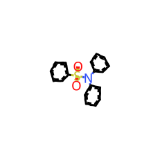 O=S(=O)(c1ccccc1)N(c1ccccc1)c1ccccc1